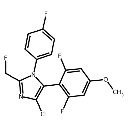 COc1cc(F)c(-c2c(Cl)nc(CF)n2-c2ccc(F)cc2)c(F)c1